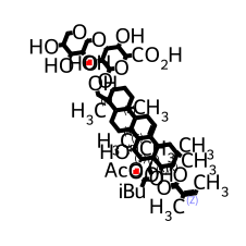 C/C=C(/C)C(=O)O[C@H]1[C@H](OC(=O)C(C)CC)[C@@]2(CO)C(CC1(C)C)C1=CCC3[C@@]4(C)CCC(OC5OC(C(=O)O)C(O)C(OC6OCC(O)C(O)C6O)C5O)[C@@](C)(CO)C4CC[C@@]3(C)[C@]1(C)[C@@H](O)[C@H]2OC(C)=O